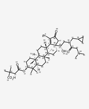 CC(C)C1=C2[C@H]3CC[C@@H]4[C@@]5(C)CC[C@H](OC(=O)CC(C)(C)C(=O)O)C(C)(C)[C@@H]5CC[C@@]4(C)[C@]3(C)CC[C@@]2([C@@H](O)CN(CC2CC2)C(=O)CN(C)C)CC1=O